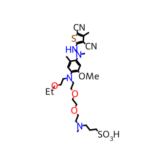 CCOCCN(CCOCCOCCN(C)CCCS(=O)(=O)O)c1cc(C)c(N(C)Nc2sc(C#N)c(C)c2C#N)cc1OC